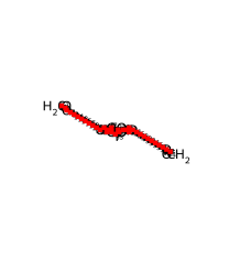 C=CC(=O)OCCCCCCCCCCCCCCCCCOc1ccc(C(=O)Oc2cc(F)c(OC(=O)c3ccc(OCCCCCCCCCCCCCCCCCOC(=O)C=C)cc3)cc2F)cc1